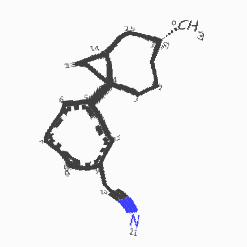 C[C@@H]1CCC2(c3cccc(C#N)c3)CC2C1